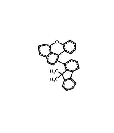 CC1(C)c2ccccc2-c2cccc(-c3ccc4cccc5c4c3-c3ccccc3O5)c21